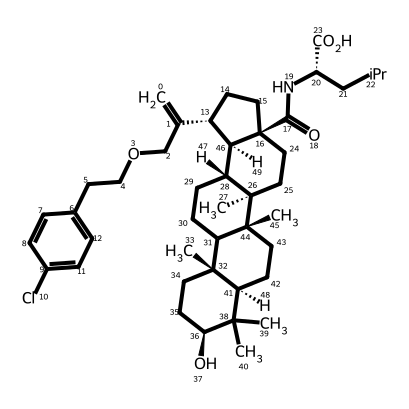 C=C(COCCc1ccc(Cl)cc1)[C@@H]1CC[C@]2(C(=O)N[C@@H](CC(C)C)C(=O)O)CC[C@]3(C)[C@H](CCC4[C@@]5(C)CC[C@H](O)C(C)(C)[C@@H]5CC[C@]43C)[C@@H]12